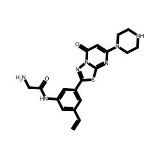 C=Cc1cc(NC(=O)CN)cc(-c2nn3c(=O)cc(N4CCNCC4)nc3s2)c1